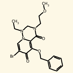 CCN1CN(CCOC)C(=O)c2c(OCc3ccccc3)c(=O)c(Br)cn21